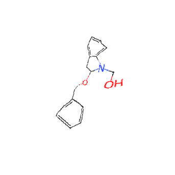 OCN1c2ccccc2CC1OCc1ccccc1